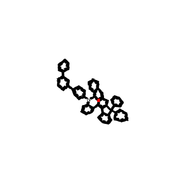 c1ccc(-c2cccc(-c3ccc(N(c4ccccc4-c4cccc5c4-c4ccccc4C5(c4ccccc4)c4ccccc4)c4cccc5ccccc45)cc3)c2)cc1